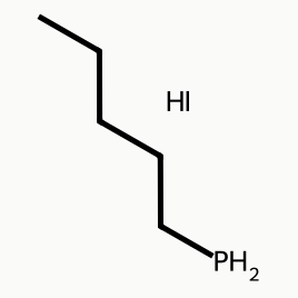 CCCCCP.I